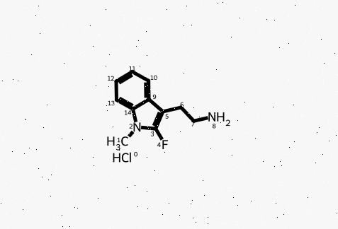 Cl.Cn1c(F)c(CCN)c2ccccc21